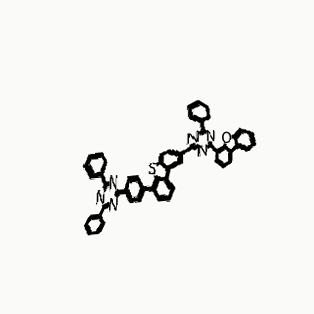 C1=CCCC(c2nc(-c3ccc4sc5c(-c6ccc(-c7nc(-c8ccccc8)nc(-c8ccccc8)n7)cc6)cccc5c4c3)nc(-c3cccc4c3oc3ccccc34)n2)=C1